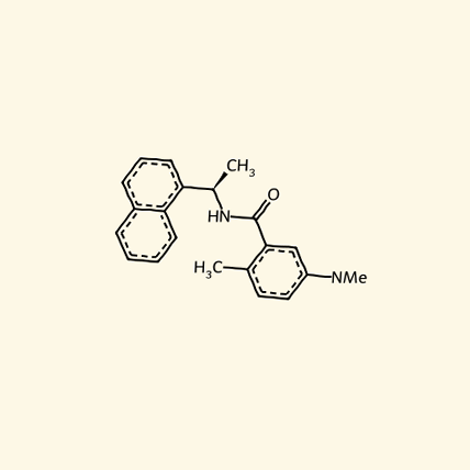 CNc1ccc(C)c(C(=O)N[C@H](C)c2cccc3ccccc23)c1